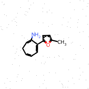 Cc1ccc(C2=CC=CCC=C2N)o1